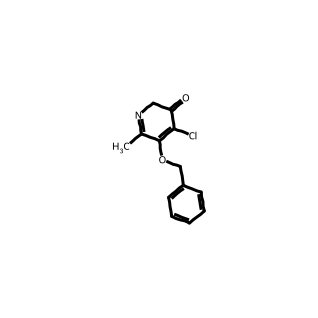 CC1=NCC(=O)C(Cl)=C1OCc1ccccc1